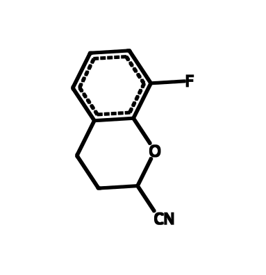 N#CC1CCc2cccc(F)c2O1